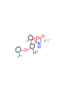 CSCC[C@H](NC(=O)c1ccc(COCc2ccccc2C(C)C)cc1-c1ccccc1C)C(=O)[O-].[Li+]